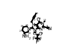 CC#CCN1c2c(nc(C#N)n(C)c2=O)N(OC(=O)C(F)(F)F)C1N1CCCC(N)C1